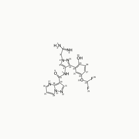 N=C(N)Cn1cc(NC(=O)c2cnn3cccnc23)c(-c2cc(OC(F)F)ccc2O)n1